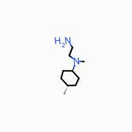 CN(CCN)[C@H]1CC[C@H](C)CC1